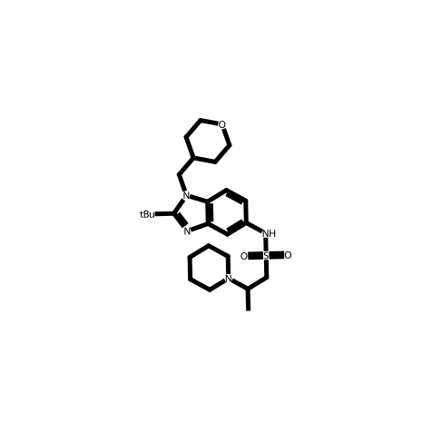 CC(CS(=O)(=O)Nc1ccc2c(c1)nc(C(C)(C)C)n2CC1CCOCC1)N1CCCCC1